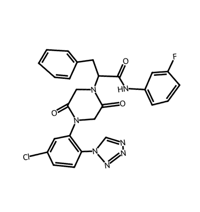 O=C(Nc1cccc(F)c1)C(Cc1ccccc1)N1CC(=O)N(c2cc(Cl)ccc2-n2cnnn2)CC1=O